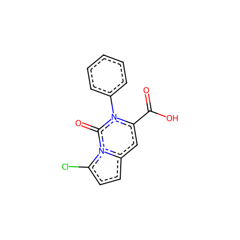 O=C(O)c1cc2ccc(Cl)n2c(=O)n1-c1ccccc1